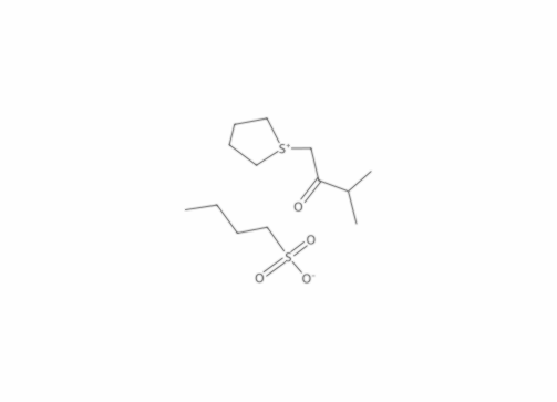 CC(C)C(=O)C[S+]1CCCC1.CCCCS(=O)(=O)[O-]